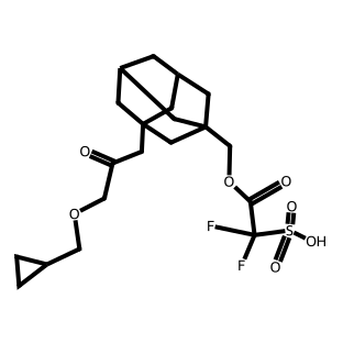 O=C(COCC1CC1)CC12CC3CC(CC(COC(=O)C(F)(F)S(=O)(=O)O)(C3)C1)C2